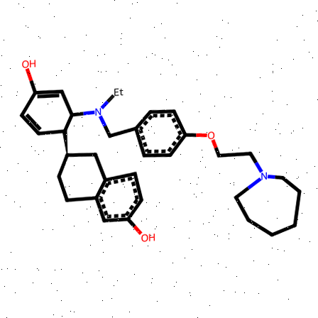 CCN(Cc1ccc(OCCN2CCCCCC2)cc1)C1C=C(O)C=CC1[C@@H]1CCc2cc(O)ccc2C1